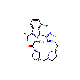 CC(C)c1nn(-c2noc(C[C@H]3CCN(C[C@@H]4CCN(C(=O)CO)C4)C3)n2)c2c(F)cccc12